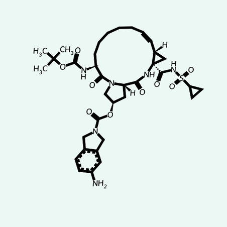 CC(C)(C)OC(=O)N[C@H]1CCCCC/C=C\[C@@H]2C[C@@]2(C(=O)NS(=O)(=O)C2CC2)NC(=O)[C@@H]2C[C@@H](OC(=O)N3Cc4ccc(N)cc4C3)CN2C1=O